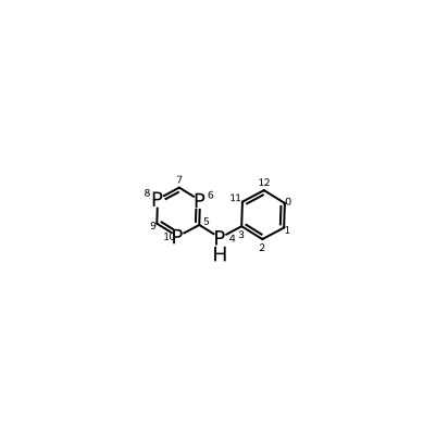 c1ccc(Pc2pcpcp2)cc1